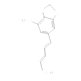 COc1cc(/C=C/C=C/C(=O)O)cc2c1OCO2